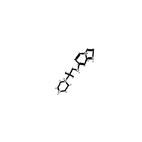 CC(C)(COc1ccn2ccnc2c1)N1CCOCC1